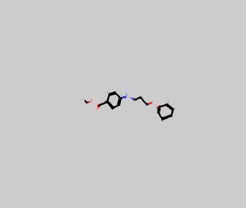 CCOC(=O)c1ccc(NCCCOc2ccccc2)cc1